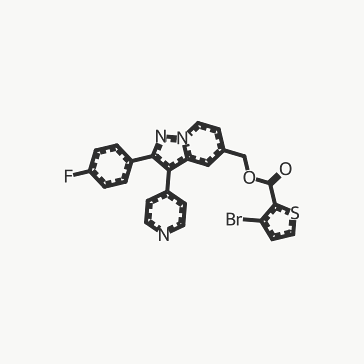 O=C(OCc1ccn2nc(-c3ccc(F)cc3)c(-c3ccncc3)c2c1)c1sccc1Br